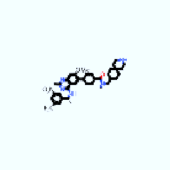 COc1cc2nc(C)nc(N[C@H](C)c3cc([N+](=O)[O-])cc(C(F)(F)F)c3)c2cc1C1CCC(C(=O)N(C)CC2CCC3(CCNCC3)CC2)CC1